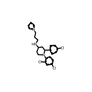 Clc1ccc(C2CC(NCCCn3cccc3)CCN2c2ccc(Cl)cc2Cl)cc1